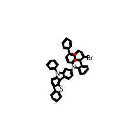 Brc1ccccc1-c1ccccc1N(c1ccc(-c2ccccc2)cc1)c1ccc2c3c4sc5ccccc5c4ccc3n(-c3ccccc3)c2c1